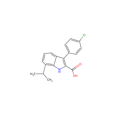 CC(C)c1cccc2c(-c3ccc(Cl)cc3)c(C(=O)O)[nH]c12